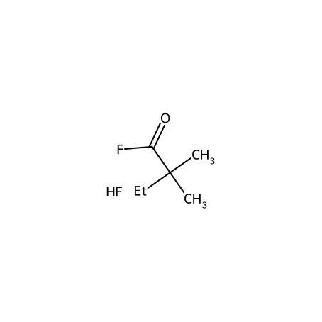 CCC(C)(C)C(=O)F.F